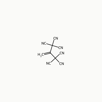 C=C(C(C#N)(C#N)C#N)C(C#N)(C#N)C#N